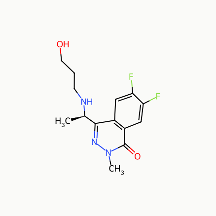 C[C@@H](NCCCO)c1nn(C)c(=O)c2cc(F)c(F)cc12